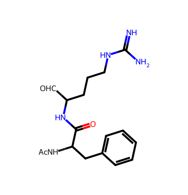 CC(=O)NC(Cc1ccccc1)C(=O)NC(C=O)CCCNC(=N)N